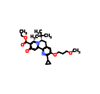 CCOC(=O)c1cn2c(cc1=O)-c1nc(C3CC3)c(OCCCOC)cc1C[C@H]2C(C)(C)C